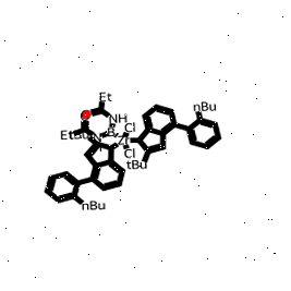 CCCCc1ccccc1-c1cccc2c1C=C(C(C)(C)C)[CH]2[Zr]([Cl])([Cl])([B](NC(=O)CC)NC(=O)CC)[CH]1C(C(C)(C)C)=Cc2c(-c3ccccc3CCCC)cccc21